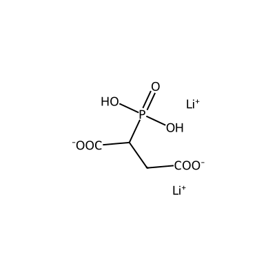 O=C([O-])CC(C(=O)[O-])P(=O)(O)O.[Li+].[Li+]